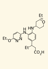 CCOc1ccc(Nc2cc(C(CC)CC(=O)O)ccc2NC2CCO[C@@H](CC)C2)nn1